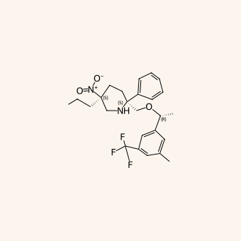 CCC[C@]1([N+](=O)[O-])CC[C@@](CO[C@H](C)c2cc(C)cc(C(F)(F)F)c2)(c2ccccc2)NC1